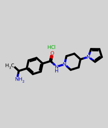 CC(N)c1ccc(C(=O)NN2CCC(n3cccc3)CC2)cc1.Cl